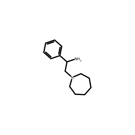 NC(CN1CCCCCC1)c1ccccc1